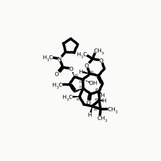 CC1=C[C@]23C(=O)[C@@H](C=C4COC(C)(C)O[C@H]4[C@]2(O)[C@H]1OC(=O)N(C)C1CCCC1)[C@H]1[C@@H](C[C@H]3C)C1(C)C